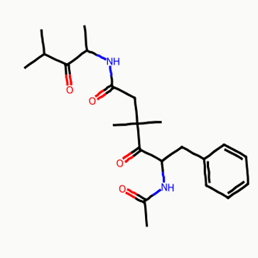 CC(=O)NC(Cc1ccccc1)C(=O)C(C)(C)CC(=O)NC(C)C(=O)C(C)C